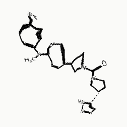 CC(C)c1ccc(N(C)c2ccc(C3CN(C(=O)N4CC[C@H](c5cnn[nH]5)C4)C3)cn2)cc1